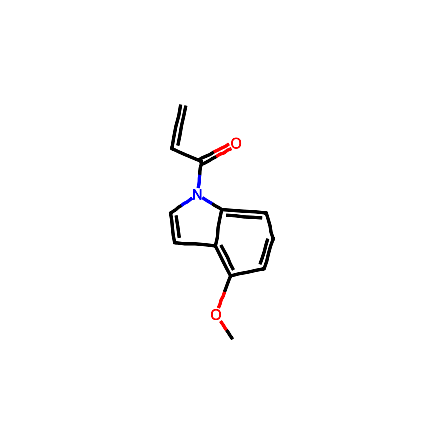 C=CC(=O)n1ccc2c(OC)cccc21